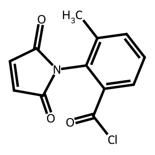 Cc1cccc(C(=O)Cl)c1N1C(=O)C=CC1=O